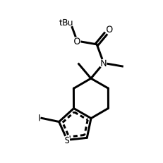 CN(C(=O)OC(C)(C)C)C1(C)CCc2csc(I)c2C1